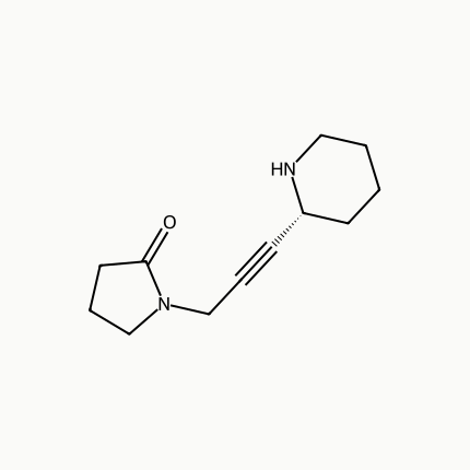 O=C1CCCN1CC#C[C@H]1CCCCN1